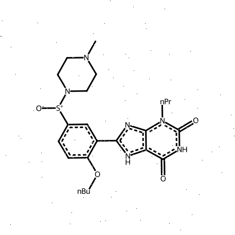 CCCCOc1ccc([S+]([O-])N2CCN(C)CC2)cc1-c1nc2c([nH]1)c(=O)[nH]c(=O)n2CCC